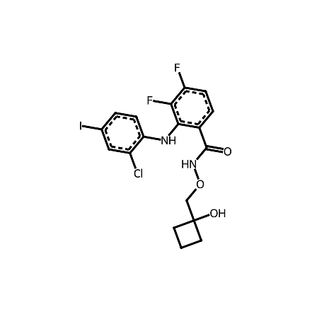 O=C(NOCC1(O)CCC1)c1ccc(F)c(F)c1Nc1ccc(I)cc1Cl